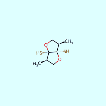 C[C@@H]1CO[C@]2(S)[C@H](C)CO[C@]12S